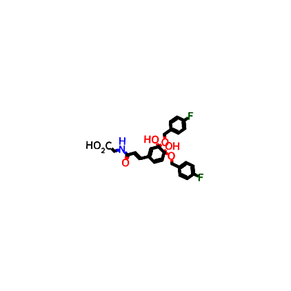 O=C(O)CNC(=O)C=CC1=CC(O)(OCc2ccc(F)cc2)C(O)(OCc2ccc(F)cc2)C=C1